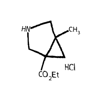 CCOC(=O)C12CNCC1(C)C2.Cl